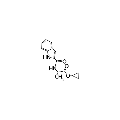 CC(NC(=O)c1cc2ccccc2[nH]1)C(=O)OC1CC1